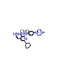 CN1CCN(c2ccc(Nc3nc(C4CCCCC4)cc4c3C(C=O)NC=C4)cc2)CC1